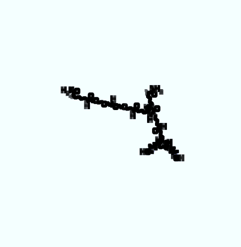 C/C(=N\O)C(C)(C)NCC(CNC(C)(C)/C(C)=N/O)NC(=O)CCCC(=O)NCCCC[C@H](NC(=O)CCCC(=O)NCCOCCONCCOCCOCC(=O)NCCCC[C@H](C)C(N)=O)C(=O)NCCCC[C@H](C)C(N)=O